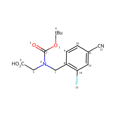 CC(C)(C)OC(=O)N(CC(=O)O)Cc1ccc(C#N)cc1F